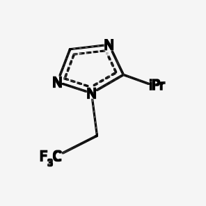 CC(C)c1ncnn1CC(F)(F)F